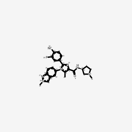 Cc1c(C(=O)N[C@H]2CCN(C)C2)nc(-c2ccc(C#N)c(F)c2)n1-c1ccc2nn(C)cc2c1